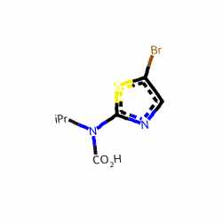 CC(C)N(C(=O)O)c1ncc(Br)s1